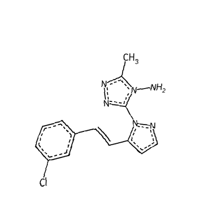 Cc1nnc(-n2nccc2C=Cc2cccc(Cl)c2)n1N